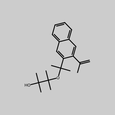 C=C(C)c1cc2ccccc2cc1C(C)(C)OC(C)(C)C(C)(C)O